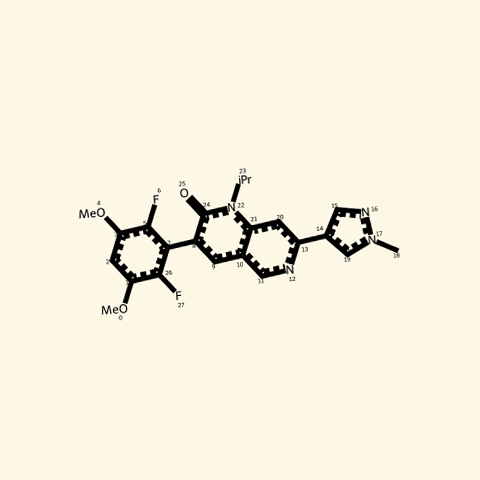 COc1cc(OC)c(F)c(-c2cc3cnc(-c4cnn(C)c4)cc3n(C(C)C)c2=O)c1F